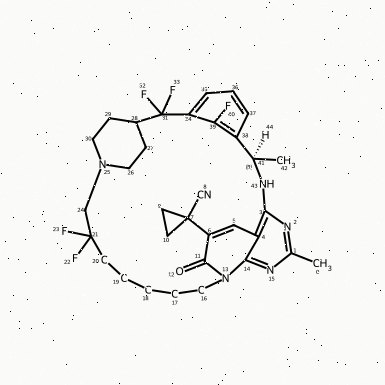 Cc1nc2c3cc(C4(C#N)CC4)c(=O)n(c3n1)CCCCCC(F)(F)CN1CCC(CC1)C(F)(F)c1cccc(c1F)[C@@H](C)N2